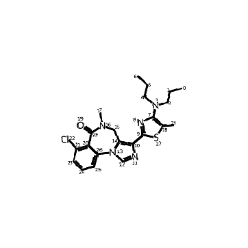 CCCN(CCC)c1nc(-c2ncn3c2CN(C)C(=O)c2c(Cl)cccc2-3)sc1C